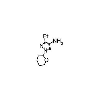 CCc1nn(C2CCCCO2)cc1N